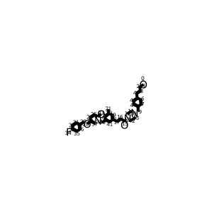 COCC=Cc1ccc(CN2CCN(C(=O)C=Cc3cc(C)c(Oc4ccc(OCc5ccc(F)cc5)cn4)c(C)c3)CC2)cc1